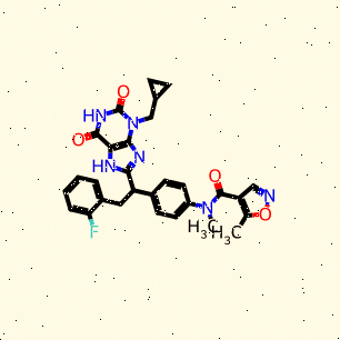 Cc1oncc1C(=O)N(C)c1ccc(C(Cc2ccccc2F)c2nc3c([nH]2)c(=O)[nH]c(=O)n3CC2CC2)cc1